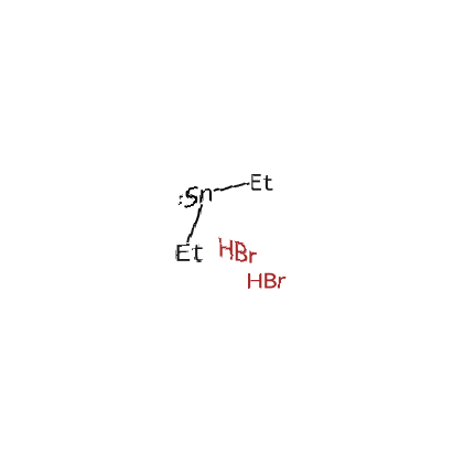 Br.Br.C[CH2][Sn][CH2]C